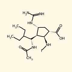 CCC(CC)[C@@H](NC(C)=O)[C@@H]1[C@H](NI)[C@@H](C(=O)O)C[C@H]1NC(=N)N